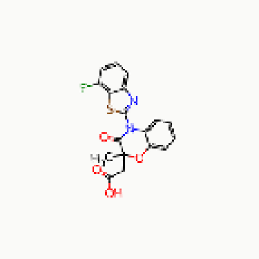 CC1(CC(=O)O)Oc2ccccc2N(c2nc3cccc(F)c3s2)C1=O